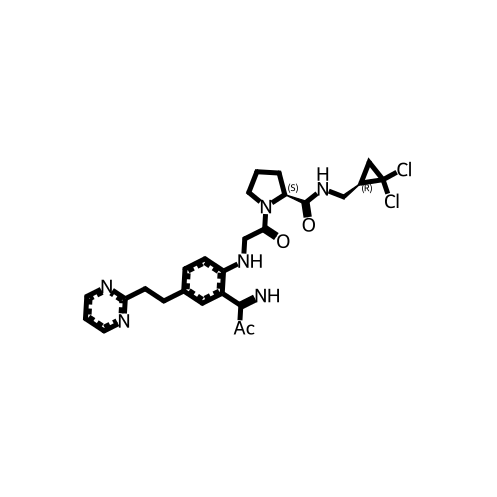 CC(=O)C(=N)c1cc(CCc2ncccn2)ccc1NCC(=O)N1CCC[C@H]1C(=O)NC[C@H]1CC1(Cl)Cl